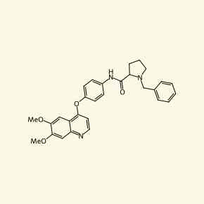 COc1cc2nccc(Oc3ccc(NC(=O)C4CCCN4Cc4ccccc4)cc3)c2cc1OC